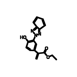 C=C(C(=O)OCC)c1ccc(O)c(-n2nc3ccccc3n2)c1